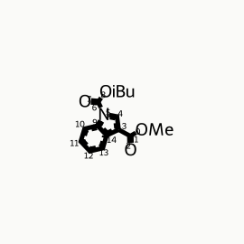 COC(=O)c1cn(C(=O)OCC(C)C)c2ccccc12